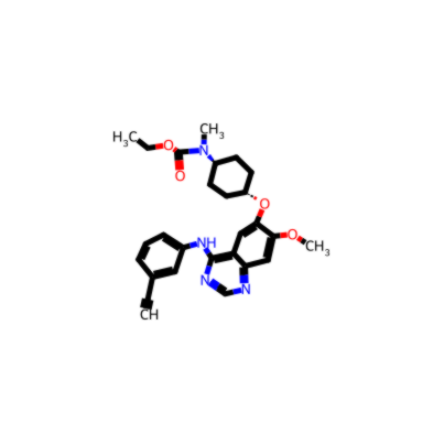 C#Cc1cccc(Nc2ncnc3cc(OC)c(O[C@H]4CC[C@H](N(C)C(=O)OCC)CC4)cc23)c1